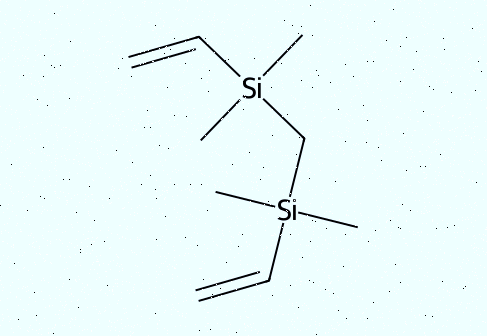 C=C[Si](C)(C)C[Si](C)(C)C=C